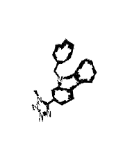 Cn1nnnc1-c1ccc2c3ccccc3n(Cc3ccccc3)c2c1